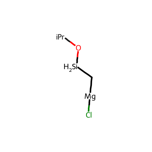 CC(C)O[SiH2][CH2][Mg][Cl]